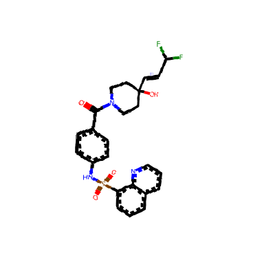 O=C(c1ccc(NS(=O)(=O)c2cccc3cccnc23)cc1)N1CCC(O)(/C=C/C(F)F)CC1